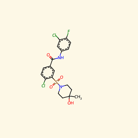 CC1(O)CCN(S(=O)(=O)c2cc(C(=O)Nc3ccc(F)c(Cl)c3)ccc2Cl)CC1